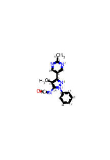 Cc1ncc(-c2nn(-c3ccccc3)c(N=C=O)c2C)cn1